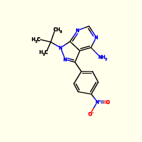 CC(C)(C)n1nc(-c2ccc([N+](=O)[O-])cc2)c2c(N)ncnc21